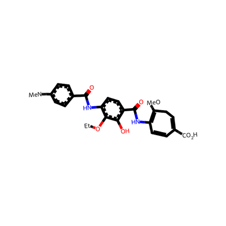 CCOc1c(NC(=O)c2ccc(NC)cc2)ccc(C(=O)NC2=C(OC)CC=C(C(=O)O)C=C2)c1O